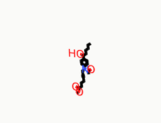 CCCCCC(O)c1ccc(N(CC#CCCCC(=O)OC)C(C)=O)cc1